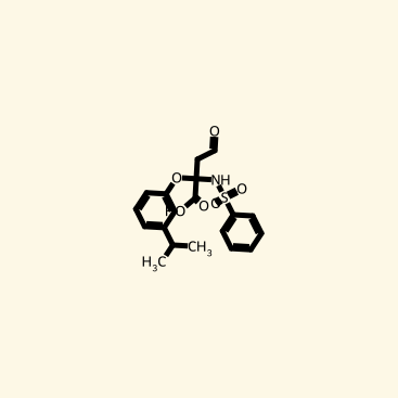 CC(C)c1cccc(OC(CC=O)(NS(=O)(=O)c2ccccc2)C(=O)O)c1